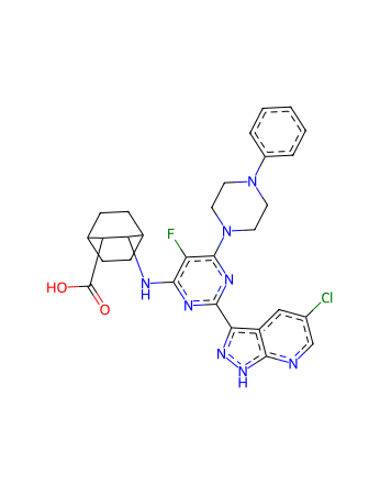 O=C(O)C1C2CCC(CC2)C1Nc1nc(-c2n[nH]c3ncc(Cl)cc23)nc(N2CCN(c3ccccc3)CC2)c1F